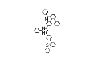 c1ccc(-c2nc(-c3ccc(-c4cccc5c4sc4ccccc45)cc3)cc(-c3ccc4c(c3)nc(-c3ccccc3)c3cccc(-c5ccccc5)c34)n2)cc1